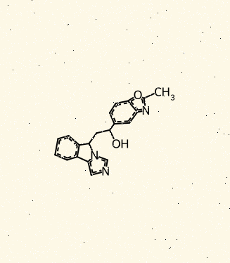 Cc1nc2cc(C(O)CC3c4ccccc4-c4cncn43)ccc2o1